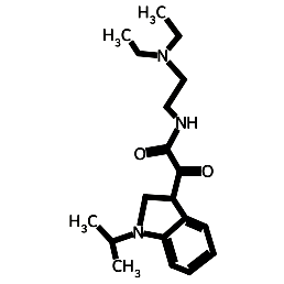 CCN(CC)CCNC(=O)C(=O)C1CN(C(C)C)c2ccccc21